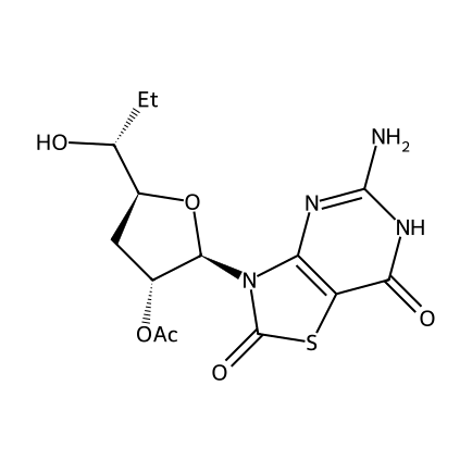 CC[C@@H](O)[C@@H]1C[C@@H](OC(C)=O)[C@H](n2c(=O)sc3c(=O)[nH]c(N)nc32)O1